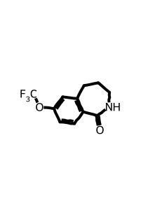 O=C1NCCCc2cc(OC(F)(F)F)ccc21